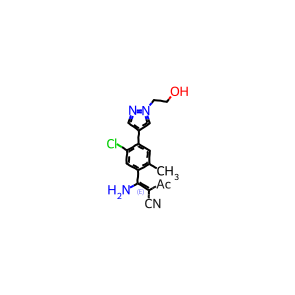 CC(=O)/C(C#N)=C(/N)c1cc(Cl)c(-c2cnn(CCO)c2)cc1C